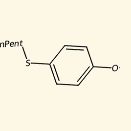 CCCCCSc1ccc([O])cc1